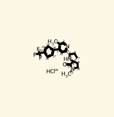 Cc1cnc([C@@H]2CC[C@@]3(CCN(C)C3=O)N2)cc1-c1ccc(C(F)(F)F)cc1.Cl